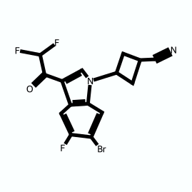 N#CC1CC(n2cc(C(=O)C(F)F)c3cc(F)c(Br)cc32)C1